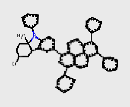 CCC1CCC2(C)C(C1)c1cc(-c3cc(-c4ccccc4)c4ccc5c(-c6ccccc6)cc(-c6ccccc6)c6ccc3c4c56)ccc1N2c1ccccc1